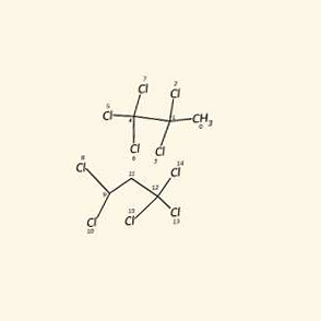 CC(Cl)(Cl)C(Cl)(Cl)Cl.ClC(Cl)CC(Cl)(Cl)Cl